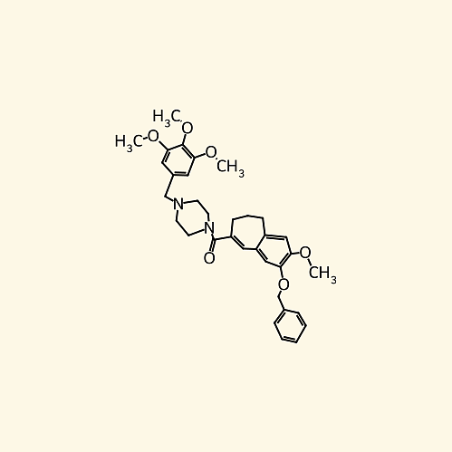 COc1cc2c(cc1OCc1ccccc1)C=C(C(=O)N1CCN(Cc3cc(OC)c(OC)c(OC)c3)CC1)CCC2